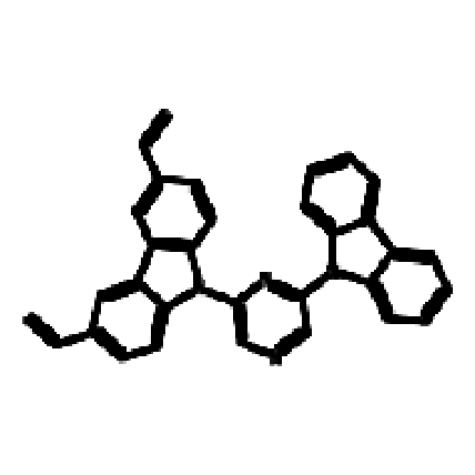 C=Cc1ccc2c(c1)c1cc(C=C)ccc1n2-c1cncc(-n2c3ccccc3c3ccccc32)n1